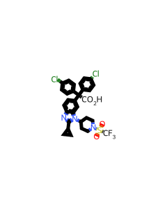 O=C(O)C(c1ccc(Cl)cc1)(c1ccc(Cl)cc1)c1ccc2nc(C3CC3)n(C3CCN(S(=O)(=O)C(F)(F)F)CC3)c2c1